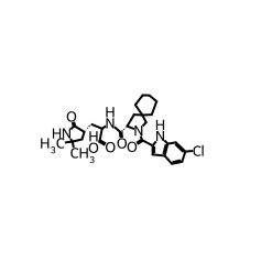 CC1(C)C[C@@H](CC(NC(=O)[C@@H]2CC3(CCCCC3)CN2C(=O)c2cc3ccc(Cl)cc3[nH]2)C(=O)O)C(=O)N1